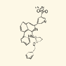 NS(=O)(=O)c1cncc(-c2cc3cccc(-c4ccccc4)c3c(N[C@H]3CCC[C@@H]3OCc3ccccc3)n2)c1